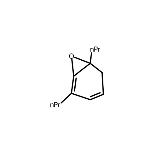 CCCC1=C2OC2(CCC)CC=C1